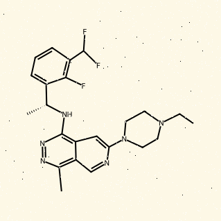 CCN1CCN(c2cc3c(N[C@H](C)c4cccc(C(F)F)c4F)nnc(C)c3cn2)CC1